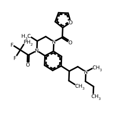 CCCN(C)CC(CC)c1ccc2c(c1)N(C(=O)c1ccco1)CC(C)N2C(=O)C(F)(F)P